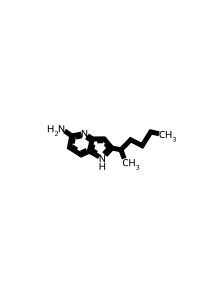 CCCCC(C)c1cc2nc(N)ccc2[nH]1